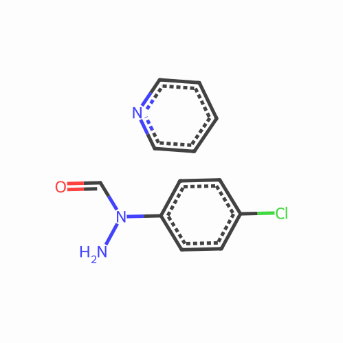 NN(C=O)c1ccc(Cl)cc1.c1ccncc1